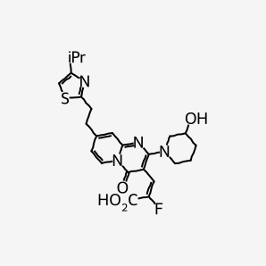 CC(C)c1csc(CCc2ccn3c(=O)c(/C=C(/F)C(=O)O)c(N4CCCC(O)C4)nc3c2)n1